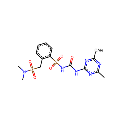 COc1nc(C)nc(NC(=O)NS(=O)(=O)c2ccccc2CS(=O)(=O)N(C)C)n1